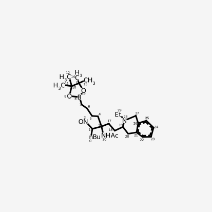 CCCCC(N=O)C(CCCCB1OC(C)(C)C(C)(C)O1)(CCC1Cc2ccccc2CN1CC)NC(C)=O